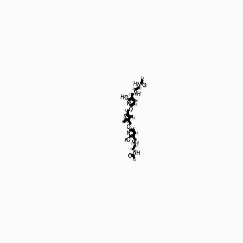 COc1nc(OCc2c(C)sc(COc3ccc(CNCCNC(C)=O)c(O)n3)c2C)ccc1CNCCNC(C)=O